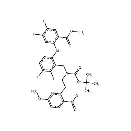 COC(=O)c1cc(F)c(F)cc1Nc1ccc(F)c(F)c1CN(CCc1nc(OC)ccc1[N+](=O)[O-])C(=O)OC(C)(C)C